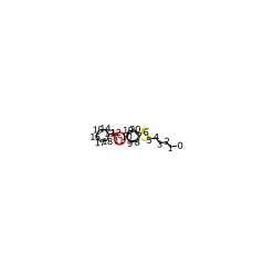 CCCCCCSc1ccc(OCC2CCCCC2)cc1